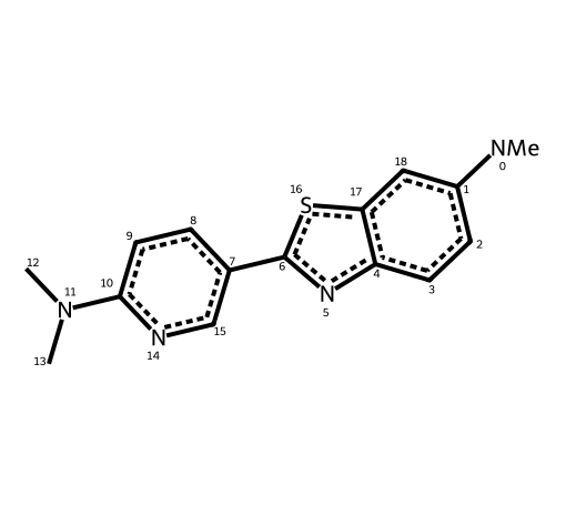 CNc1ccc2nc(-c3ccc(N(C)C)nc3)sc2c1